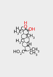 CC1(C)C[C@@H](C(=O)O)C2CCC3C(=CCC4C3(C)CCC3C4(C)C[C@@H](O)[C@H](O)C3(C)C)[C@@H]2C1